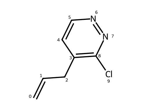 C=CCc1ccnnc1Cl